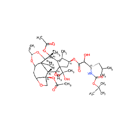 C=CC1OC2CC3OC[C@@]3(OC(C)=O)[C@H]3[C@H](O)C4(C(C)(C)O)C[C@H](OC(=O)C(O)[C@H](CC(C)C)NC(=O)OC(C)(C)C)C(C)=C4[C@@](C)(OC(C)=O)[C@H](O1)C23C